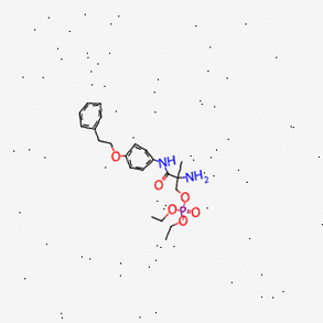 CCOP(=O)(OCC)OCC(C)(N)C(=O)Nc1ccc(OCCc2ccccc2)cc1